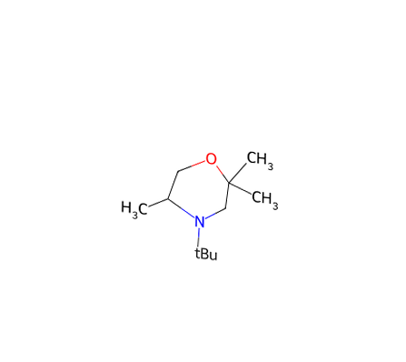 CC1COC(C)(C)CN1C(C)(C)C